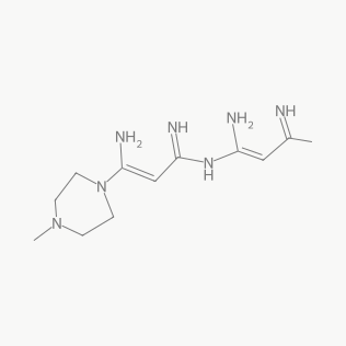 CC(=N)/C=C(\N)NC(=N)/C=C(\N)N1CCN(C)CC1